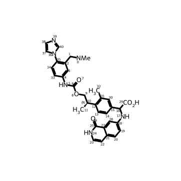 CNCc1cc(NC(=O)OC[C@H](C)c2ccc(C(Nc3ccc4cc[nH]c(=O)c4c3)C(=O)O)cc2C)ccc1-n1ccnc1